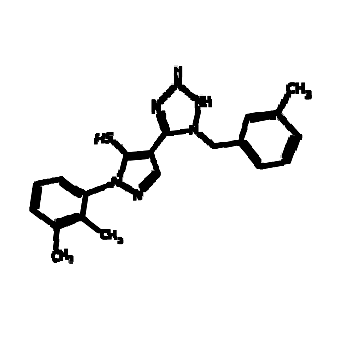 Cc1cccc(CN2NNN=C2c2cnn(-c3cccc(C)c3C)c2S)c1